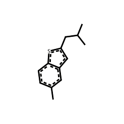 Cc1ccc2sc(CC(C)C)cc2c1